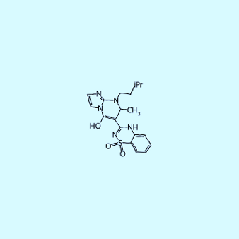 CC(C)CCN1c2nccn2C(O)=C(C2=NS(=O)(=O)c3ccccc3N2)C1C